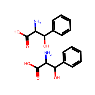 NC(C(=O)O)C(O)c1ccccc1.NC(C(=O)O)C(O)c1ccccc1